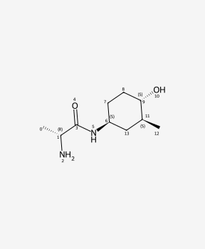 C[C@@H](N)C(=O)N[C@H]1CC[C@H](O)[C@@H](C)C1